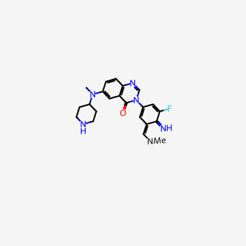 CN/C=C1/C=C(n2cnc3ccc(N(C)C4CCNCC4)cc3c2=O)C=C(F)C1=N